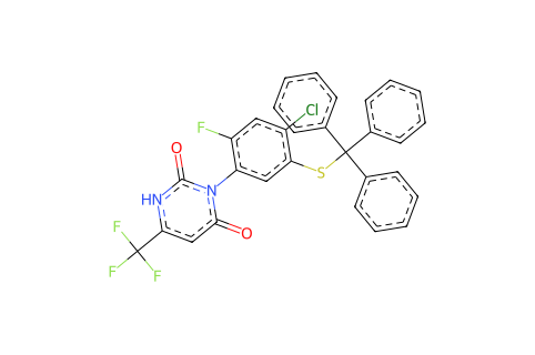 O=c1cc(C(F)(F)F)[nH]c(=O)n1-c1cc(SC(c2ccccc2)(c2ccccc2)c2ccccc2)c(Cl)cc1F